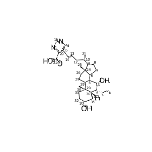 CC[C@H]1[C@@H](O)C2C3CC[C@H]([C@H](C)C/C=C/c4cncnc4C(=O)O)[C@@]3(C)CCC2[C@@]2(C)CC[C@@H](O)C[C@@H]12